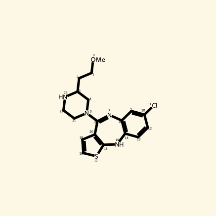 COCCC1CN(C2=Nc3cc(Cl)ccc3Nc3sccc32)CCN1